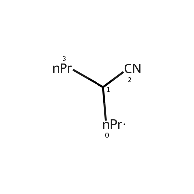 CC[CH]C(C#N)CCC